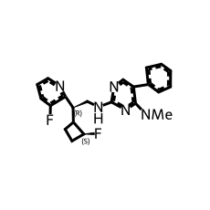 CNc1nc(NC[C@H](c2ncccc2F)C2CC[C@@H]2F)ncc1-c1ccccc1